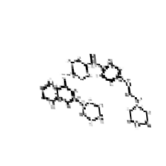 c1cnc2c(O[C@H]3CC[C@@H](Nc4ccc(OCCN5CCOCC5)cn4)CC3)cc(N3CCOCC3)cc2n1